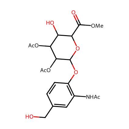 COC(=O)C1OC(Oc2ccc(CO)cc2NC(C)=O)C(OC(C)=O)C(OC(C)=O)C1O